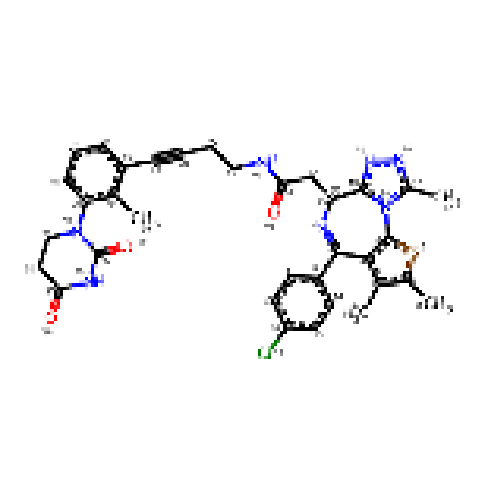 Cc1sc2c(c1C)C(c1ccc(Cl)cc1)=N[C@@H](CC(=O)NCCC#Cc1cccc(N3CCC(=O)NC3=O)c1C)c1nnc(C)n1-2